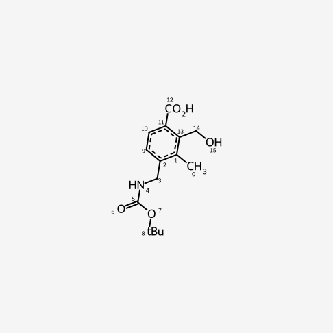 Cc1c(CNC(=O)OC(C)(C)C)ccc(C(=O)O)c1CO